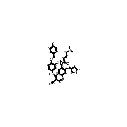 Cc1ccc(COc2ccc(Nc3c(C#N)cnc4cc(OC5CCOC5)c(NC(=O)C=CCN(C)C)cc34)cc2Cl)cc1